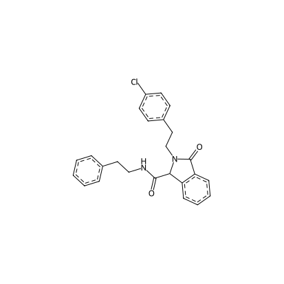 O=C(NCCc1ccccc1)C1c2ccccc2C(=O)N1CCc1ccc(Cl)cc1